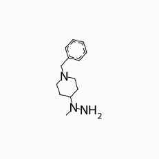 CN(N)C1CCN(Cc2ccccc2)CC1